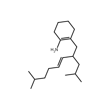 CC(C)CC/C=C/C(CC1=C(N)CCCC1)CC(C)C